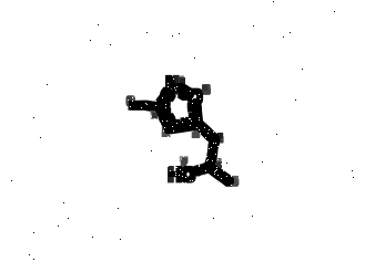 Cc1cc(CC(C)O)on1